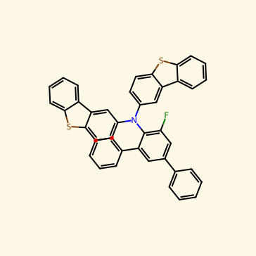 Fc1cc(-c2ccccc2)cc(-c2ccccc2)c1N(c1ccc2sc3ccccc3c2c1)c1ccc2sc3ccccc3c2c1